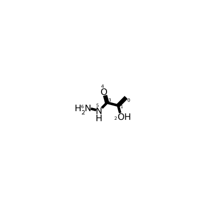 C=C(O)C(=O)NN